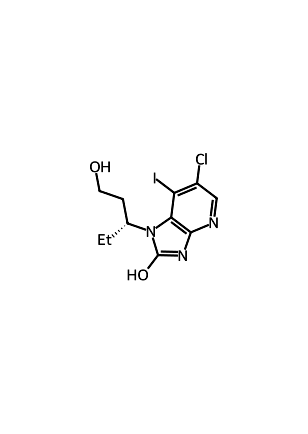 CC[C@H](CCO)n1c(O)nc2ncc(Cl)c(I)c21